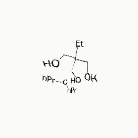 CCC(CO)(CO)CO.CCCOCCC